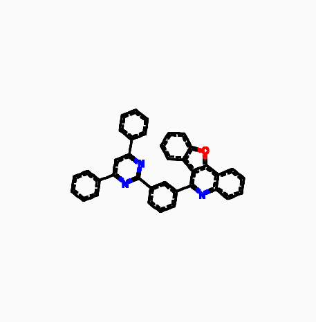 c1ccc(-c2cc(-c3ccccc3)nc(-c3cccc(-c4nc5ccccc5c5oc6ccccc6c45)c3)n2)cc1